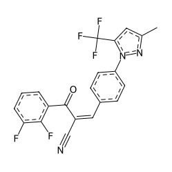 Cc1cc(C(F)(F)F)n(-c2ccc(C=C(C#N)C(=O)c3cccc(F)c3F)cc2)n1